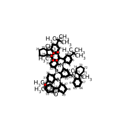 CC(C)(C)c1ccc(N2c3cc(N4c5ccc(C(C)(C)C)cc5C5(C)CCCCC45C)ccc3B3c4ccc(C(C)(C)C)cc4N(c4cccc5oc6ccccc6c45)c4cc(N5c6ccccc6C6(C)CCCCC56C)cc2c43)c(-c2ccccc2)c1